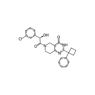 O=C([C@H](O)c1cccc(Cl)c1)N1CCc2nc(C3(c4ccccc4)CCC3)[nH]c(=O)c2C1